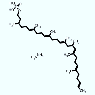 C/C=C/CC/C(C)=C/CC/C(C)=C/C(C)C/C(C)=C/CC/C(C)=C/CC/C(C)=C/CCC(C)CCOP(=O)(O)O.N.N